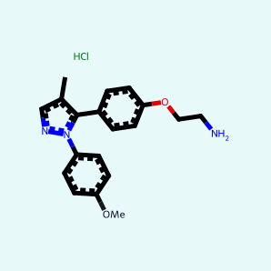 COc1ccc(-n2ncc(C)c2-c2ccc(OCCN)cc2)cc1.Cl